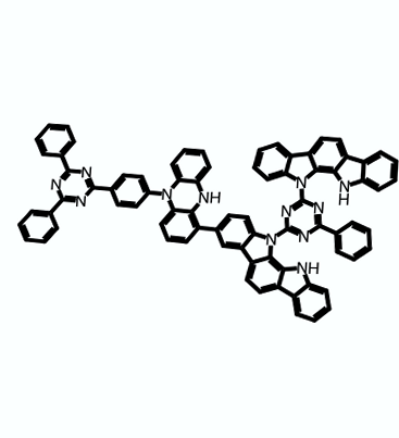 c1ccc(-c2nc(-c3ccccc3)nc(-c3ccc(N4c5ccccc5Nc5c(-c6ccc7c(c6)c6ccc8c9ccccc9[nH]c8c6n7-c6nc(-c7ccccc7)nc(-n7c8ccccc8c8ccc9c%10ccccc%10[nH]c9c87)n6)cccc54)cc3)n2)cc1